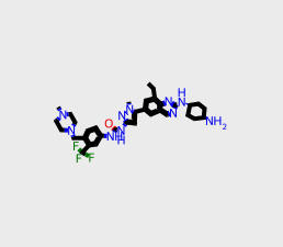 CCc1cc(-c2cc(NC(=O)Nc3ccc(CN4CCN(C)CC4)c(C(F)(F)F)c3)nn2C)cc2cnc(N[C@H]3CC[C@H](N)CC3)nc12